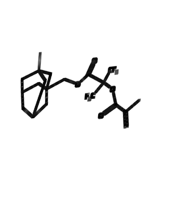 C=C(C)C(=O)OC(C(=O)OCC12CC3CC(CC(C)(C3)C1)C2)(C(F)(F)F)C(F)(F)F